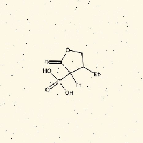 CCC1COC(=O)C1(CC)P(=O)(O)O